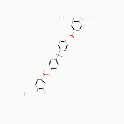 CC(C)(c1ccc(OC(=O)c2ccc(C(=O)O)c(C(=O)O)c2)cc1)c1ccc(OC(=O)c2ccc(C(=O)O)c(C(=O)O)c2)cc1